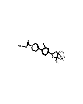 CC(C)(C)OC(=O)N1CC=C(c2ccc(B3OC(C)(C)C(C)(C)O3)cc2F)CC1